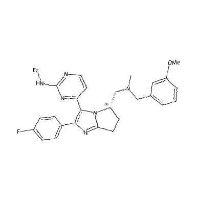 CCNc1nccc(-c2c(-c3ccc(F)cc3)nc3n2[C@H](CN(C)Cc2cccc(OC)c2)CC3)n1